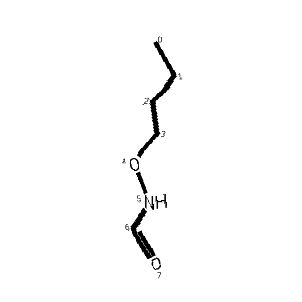 CCCCONC=O